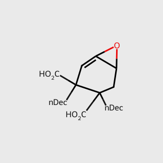 CCCCCCCCCCC1(C(=O)O)C=C2OC2CC1(CCCCCCCCCC)C(=O)O